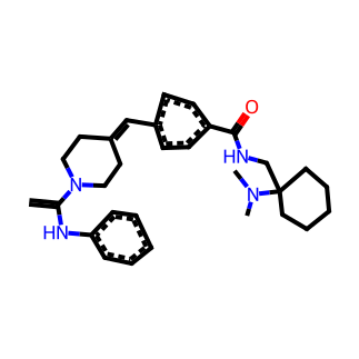 C=C(Nc1ccccc1)N1CCC(=Cc2ccc(C(=O)NCC3(N(C)C)CCCCC3)cc2)CC1